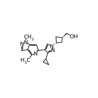 Cc1nc(-c2cn([C@H]3C[C@H](CO)C3)nc2C2CC2)cc2c1cnn2C